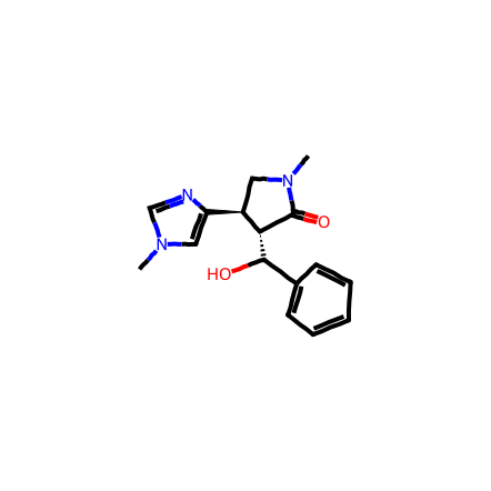 CN1C[C@H](c2cn(C)cn2)[C@@H](C(O)c2ccccc2)C1=O